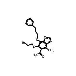 CC(=O)c1c(OCCBr)c(OCCCc2ccccc2)c2ocnc2c1C